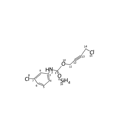 O=C(Nc1cccc(Cl)c1)OCC#CCCl.[SiH4]